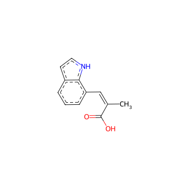 CC(=Cc1cccc2cc[nH]c12)C(=O)O